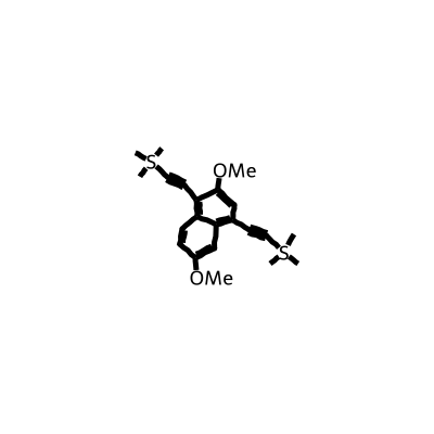 COc1ccc2c(C#CS(C)(C)C)c(OC)cc(C#CS(C)(C)C)c2c1